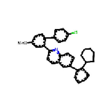 COc1ccc(-c2ccc(Cl)cc2)c(-c2ccc3cc(-c4ccccc4C4CCCCC4)ccc3n2)c1